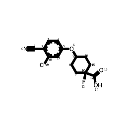 N#Cc1ccc(OC2CCC(F)(C(=O)O)CC2)cc1Cl